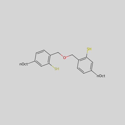 CCCCCCCCc1ccc(COCc2ccc(CCCCCCCC)cc2S)c(S)c1